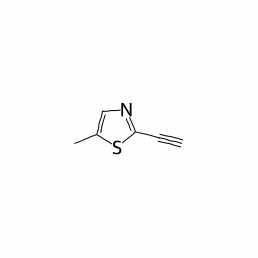 C#Cc1ncc(C)s1